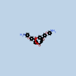 Nc1cccc(Oc2ccc(C(=O)C34C=CC(=CC3)Oc3ccc(c5c3C3(C(=O)c6ccc(Oc7cccc(N)c7)cc6)C=CC(=CC3)O5)C(=O)c3ccc4cc3)cc2)c1